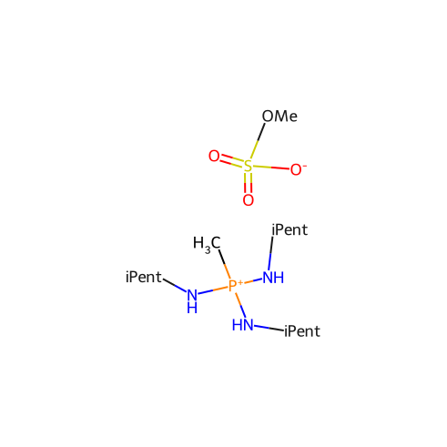 CCCC(C)N[P+](C)(NC(C)CCC)NC(C)CCC.COS(=O)(=O)[O-]